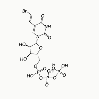 O=c1[nH]c(=O)n([C@@H]2O[C@H](COP(=O)(O)OP(=O)(O)OP(=O)(O)O)[C@@H](O)[C@H]2O)cc1/C=C/Br